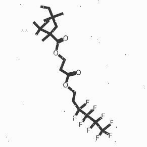 CCC(C)(C)CC(C)(C(=O)OCCC(=O)OCCC(F)(F)C(F)(F)C(F)(F)C(F)(F)F)C(C)(C)C